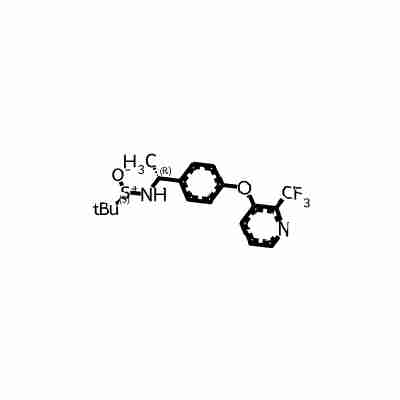 C[C@@H](N[S@+]([O-])C(C)(C)C)c1ccc(Oc2cccnc2C(F)(F)F)cc1